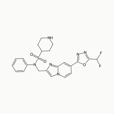 O=S(=O)(C1CCNCC1)N(Cc1cn2ccc(-c3nnc(C(F)F)o3)cc2n1)c1ccccc1